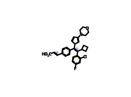 O=C(O)/C=C/c1ccc(/C(=C(\c2ccc(F)cc2Cl)C2CCC2)C2C=CC(N3CCOCC3)=C2)cc1